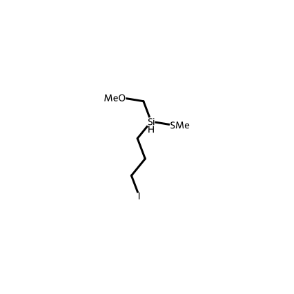 COC[SiH](CCCI)SC